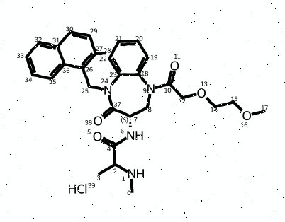 CNC(C)C(=O)N[C@H]1CN(C(=O)COCCOC)c2ccccc2N(Cc2c(C)ccc3ccccc23)C1=O.Cl